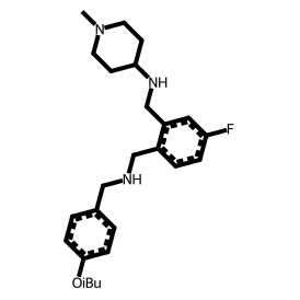 CC(C)COc1ccc(CNCc2ccc(F)cc2CNC2CCN(C)CC2)cc1